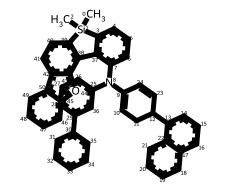 C[Si]1(C)c2cccc(N(C3=CCC(c4cccc5ccccc45)C=C3)c3cccc(-c4ccccc4)c3)c2-c2c1ccc1c2oc2ccccc21